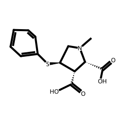 CN1C[C@H](Sc2ccccc2)[C@@H](C(=O)O)[C@H]1C(=O)O